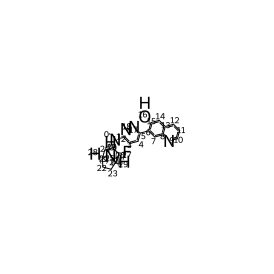 CN(c1ccc(-c2cc3ncccc3cc2O)nn1)[C@H]1C[C@@H]2CC[C@@H](N2)[C@H]1F